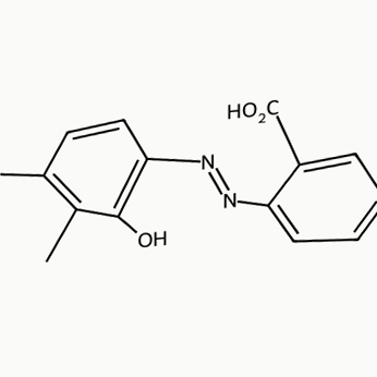 Cc1ccc(N=Nc2ccccc2C(=O)O)c(O)c1C